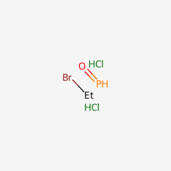 CCBr.Cl.Cl.O=P